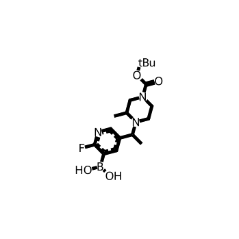 CC1CN(C(=O)OC(C)(C)C)CCN1C(C)c1cnc(F)c(B(O)O)c1